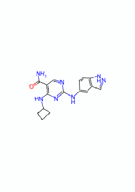 NC(=O)c1cnc(Nc2ccc3[nH]ncc3c2)nc1NC1CCC1